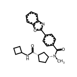 CN(C(=O)c1ccc(-c2nc3ccccc3o2)cc1)[C@@H]1CC[C@H](C(=O)NC2CCC2)C1